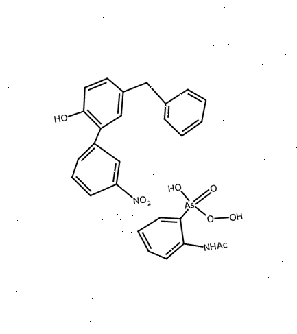 CC(=O)Nc1ccccc1[As](=O)(O)OO.O=[N+]([O-])c1cccc(-c2cc(Cc3ccccc3)ccc2O)c1